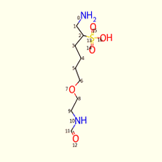 NCC(CCCCOCCNC=O)S(=O)(=O)O